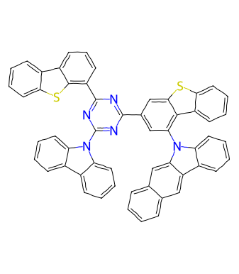 c1ccc2cc3c(cc2c1)c1ccccc1n3-c1cc(-c2nc(-c3cccc4c3sc3ccccc34)nc(-n3c4ccccc4c4ccccc43)n2)cc2sc3ccccc3c12